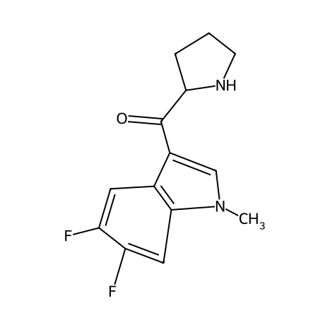 Cn1cc(C(=O)C2CCCN2)c2cc(F)c(F)cc21